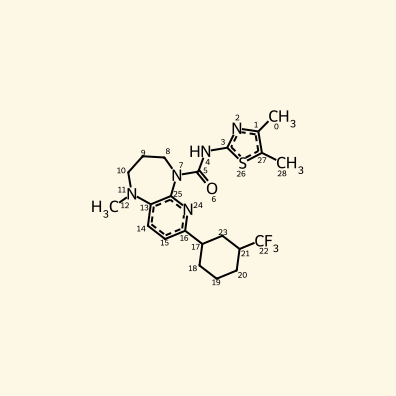 Cc1nc(NC(=O)N2CCCN(C)c3ccc(C4CCCC(C(F)(F)F)C4)nc32)sc1C